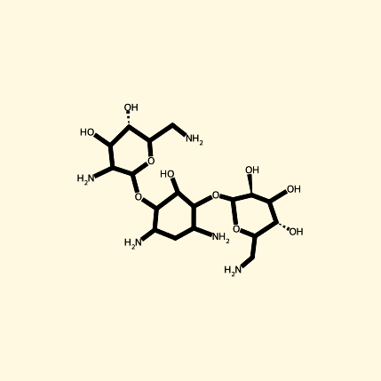 NCC1OC(OC2C(N)CC(N)C(OC3OC(CN)[C@@H](O)C(O)[C@@H]3O)C2O)C(N)C(O)[C@@H]1O